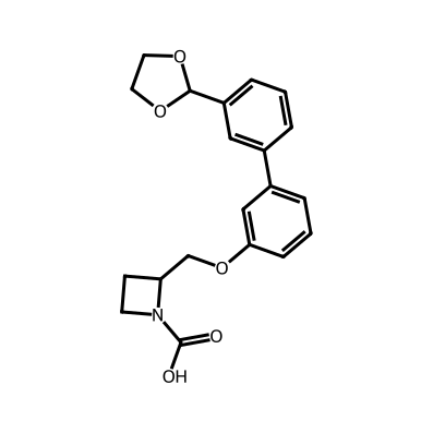 O=C(O)N1CCC1COc1cccc(-c2cccc(C3OCCO3)c2)c1